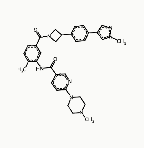 Cc1ccc(C(=O)N2CC(c3ccc(-c4cnn(C)c4)cc3)C2)cc1NC(=O)c1ccc(N2CCN(C)CC2)nc1